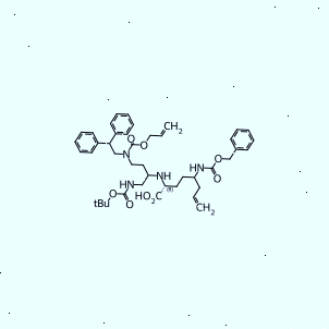 C=CCOC(=O)N(CCC(CNC(=O)OC(C)(C)C)N[C@H](CCC(CC=C)NC(=O)OCc1ccccc1)C(=O)O)CC(c1ccccc1)c1ccccc1